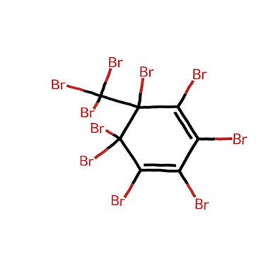 BrC1=C(Br)C(Br)(Br)C(Br)(C(Br)(Br)Br)C(Br)=C1Br